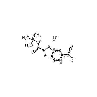 CC(C)(C)OC(=O)N1Cc2cnc(C(=O)[O-])cc2C1.[Li+]